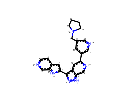 c1cc2cc(-c3n[nH]c4cnc(-c5cncc(CN6CCCC6)c5)cc34)[nH]c2cn1